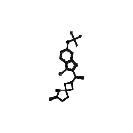 O=C1CCC2(CN(C(=O)c3sc4cc(OC(F)(F)F)ccc4c3Cl)C2)N1